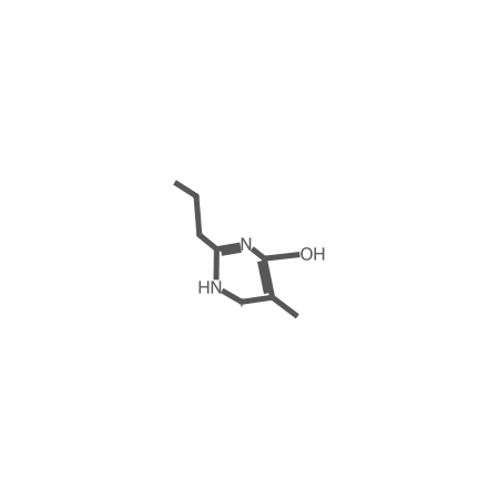 CCCC1=NC(O)=C(C)[CH]N1